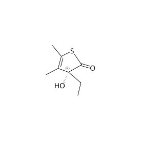 CC[C@]1(O)C(=O)SC(C)=C1C